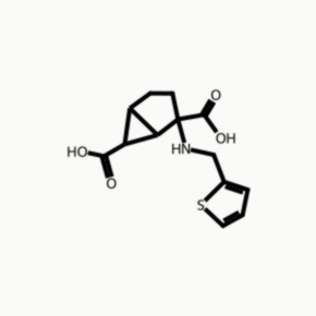 O=C(O)C1C2CCC(NCc3cccs3)(C(=O)O)C21